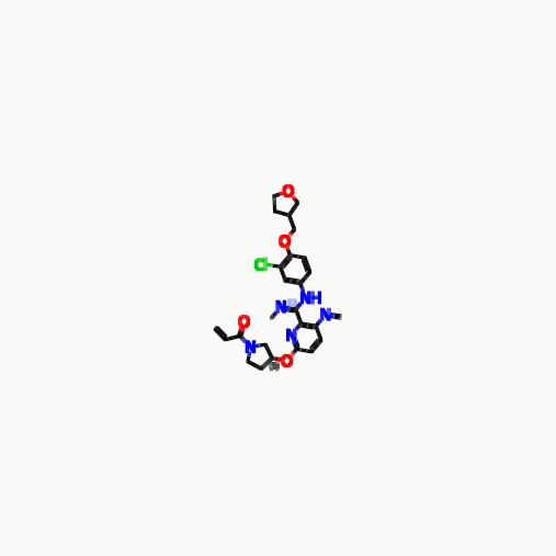 C=CC(=O)N1CC[C@H](Oc2ccc(N=C)c(/C(=N\C)Nc3ccc(OCC4CCOC4)c(Cl)c3)n2)C1